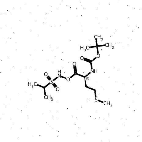 CSCC[C@H](NC(=O)OC(C)(C)C)C(=O)ONS(=O)(=O)C(C)C